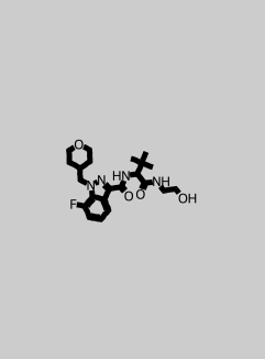 CC(C)(C)C(NC(=O)c1nn(CC2CCOCC2)c2c(F)cccc12)C(=O)NCCO